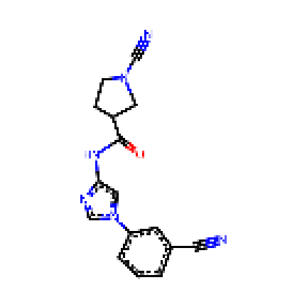 N#Cc1cccc(-n2cnc(NC(=O)C3CCN(C#N)C3)c2)c1